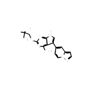 COc1nc(NCC(C)(C)F)nc2[nH]cc(-c3ccn4nccc4c3)c12